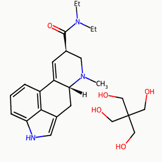 CCN(CC)C(=O)[C@@H]1C=C2c3cccc4[nH]cc(c34)C[C@H]2N(C)C1.OCC(CO)(CO)CO